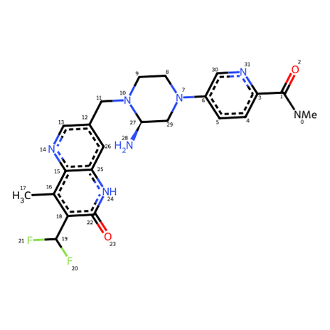 CNC(=O)c1ccc(N2CCN(Cc3cnc4c(C)c(C(F)F)c(=O)[nH]c4c3)[C@H](N)C2)cn1